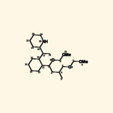 COCOCC(C)CC(OCOC)C1CCCCC1C(C)C1C[CH]CCN1